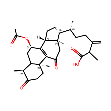 C=C(CC[C@@H](C)[C@H]1CC[C@H]2C3=C(C(=O)C[C@]12C)[C@@]1(C)CCC(=O)[C@@H](C)C1C[C@H]3OC(C)=O)C(C)C(=O)O